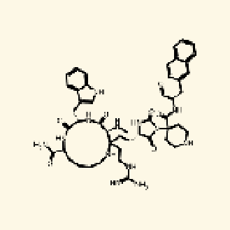 CN[C@@H]1C(=O)N[C@@H](Cc2c[nH]c3ccccc23)C(=O)N[C@H](C(N)=O)CCCCNC1(CCNC(=N)N)CC[C@@H]1NC(=O)N(C2(C(=O)N[C@@H](C=O)Cc3ccc4ccccc4c3)CCNCC2)C1=O